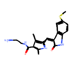 CSc1ccc2c(c1)/C(=C/c1[nH]c(C)c(C(=O)NCCN)c1C)C(=O)N2